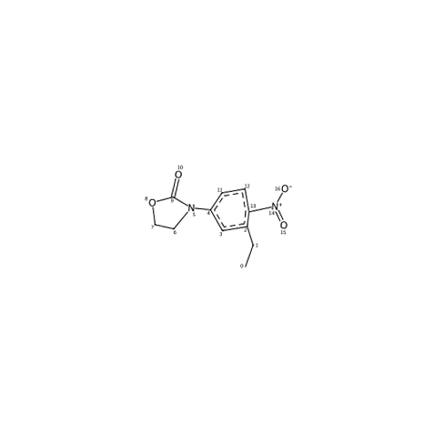 CCc1cc(N2CCOC2=O)ccc1[N+](=O)[O-]